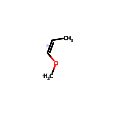 [CH2]O/C=C\C